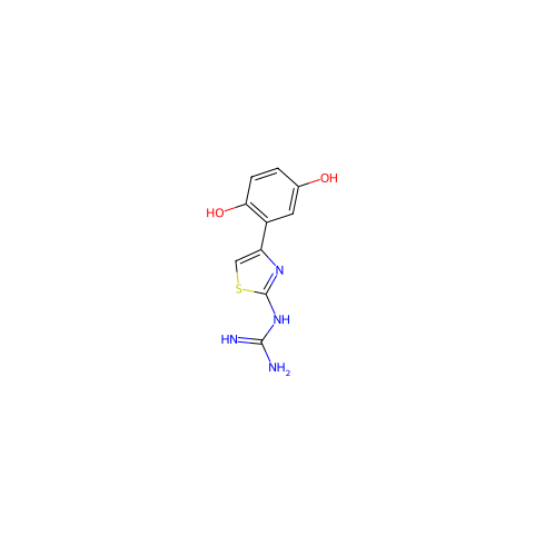 N=C(N)Nc1nc(-c2cc(O)ccc2O)cs1